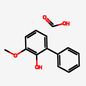 COc1cccc(-c2ccccc2)c1O.O=CO